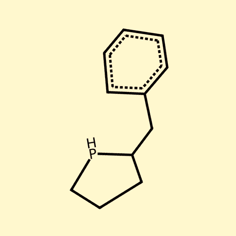 c1ccc(CC2CCCP2)cc1